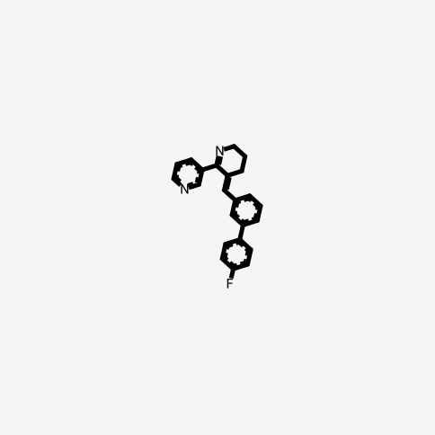 Fc1ccc(-c2cccc(C=C3CCCN=C3c3cccnc3)c2)cc1